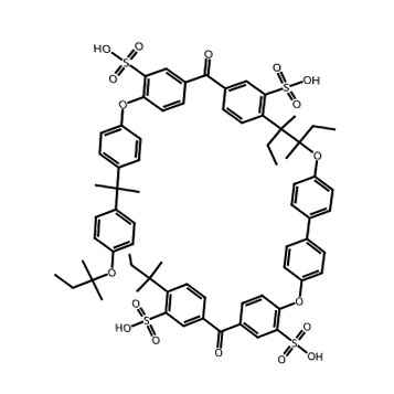 CCC(C)(C)Oc1ccc(C(C)(C)c2ccc(Oc3ccc(C(=O)c4ccc(C(C)(CC)C(C)(CC)Oc5ccc(-c6ccc(Oc7ccc(C(=O)c8ccc(C(C)(C)CC)c(S(=O)(=O)O)c8)cc7S(=O)(=O)O)cc6)cc5)c(S(=O)(=O)O)c4)cc3S(=O)(=O)O)cc2)cc1